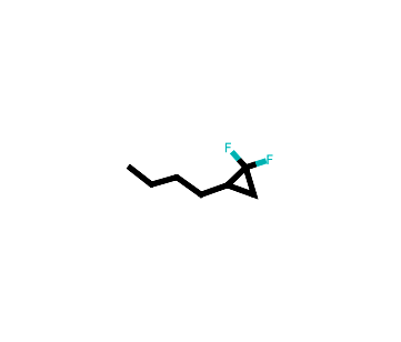 CCC[CH]C1CC1(F)F